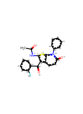 CC(=O)Nc1sc2c(ccc(=O)n2-c2ccccc2)c1C(=O)c1ccccc1F